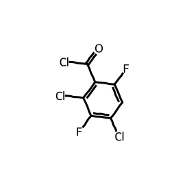 O=C(Cl)c1c(F)cc(Cl)c(F)c1Cl